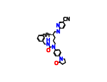 CCCC(/C=N/c1ccc(C#N)cn1)CCCN(C(=O)NCc1ccccc1)c1ccc(N2CCCC2=O)cc1